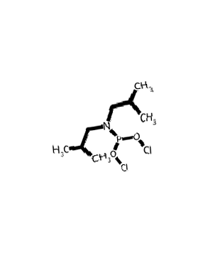 CC(C)CN(CC(C)C)P(OCl)OCl